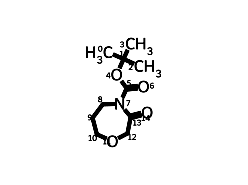 CC(C)(C)OC(=O)N1CCCOCC1=O